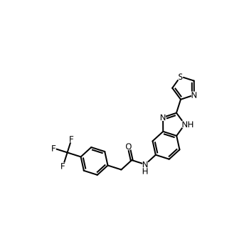 O=C(Cc1ccc(C(F)(F)F)cc1)Nc1ccc2[nH]c(-c3cscn3)nc2c1